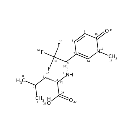 CC(C)C[C@H](N[C@@H](c1ccc(=O)n(C)c1)C(F)(F)F)C(=O)O